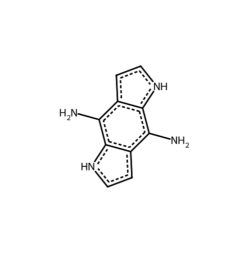 Nc1c2cc[nH]c2c(N)c2cc[nH]c12